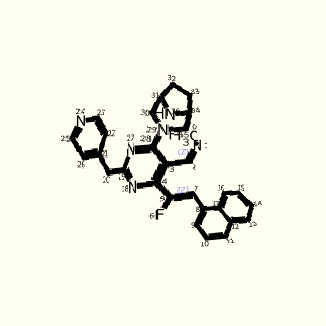 C/N=C\c1c(/C(F)=C/c2cccc3ccccc23)nc(Cc2ccncc2)nc1N1CC2CCC(C1)N2